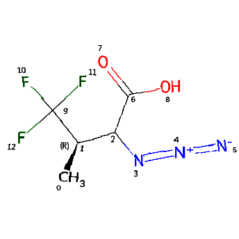 C[C@H](C(N=[N+]=[N-])C(=O)O)C(F)(F)F